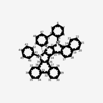 c1ccc(-c2ccccc2-n2c3sc4c(c3c3ccc5ccccc5c32)c2c3ccccc3c3ccccc3c2n4-c2ccccc2)cc1